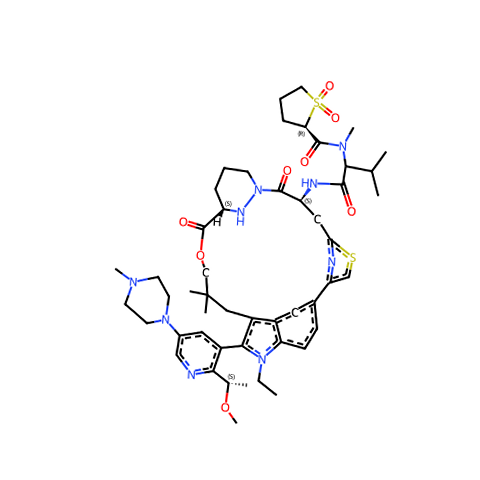 CCn1c(-c2cc(N3CCN(C)CC3)cnc2[C@H](C)OC)c2c3cc(ccc31)-c1csc(n1)C[C@H](NC(=O)C(C(C)C)N(C)C(=O)[C@H]1CCCS1(=O)=O)C(=O)N1CCC[C@H](N1)C(=O)OCC(C)(C)C2